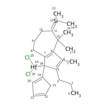 CCCC1=C(C)C2=C(CCCC(=[Si](C)C)C2(C)C)[C]1(C1=CC=CC1)[Hf]([Cl])[Cl]